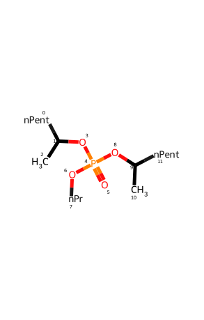 CCCCCC(C)OP(=O)(OCCC)OC(C)CCCCC